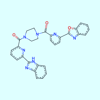 O=C(c1cccc(-c2nc3ccccc3[nH]2)n1)N1CCN(C(=O)c2cccc(-c3nc4ccccc4o3)n2)CC1